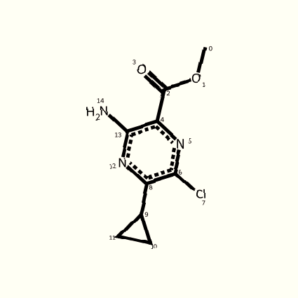 COC(=O)c1nc(Cl)c(C2CC2)nc1N